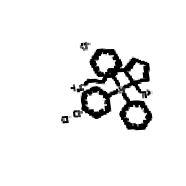 CCCCC1=CC=C[C]1([Ti+3])[Si](c1ccccc1)(c1ccccc1)c1ccccc1.[Cl-].[Cl-].[Cl-]